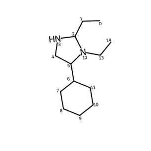 CCC1NCC(C2CCCCC2)N1CC